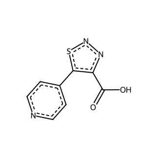 O=C(O)c1nnsc1-c1ccncc1